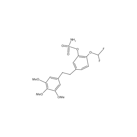 COc1cc(CCc2ccc(OC(F)F)c(OS(N)(=O)=O)c2)cc(OC)c1OC